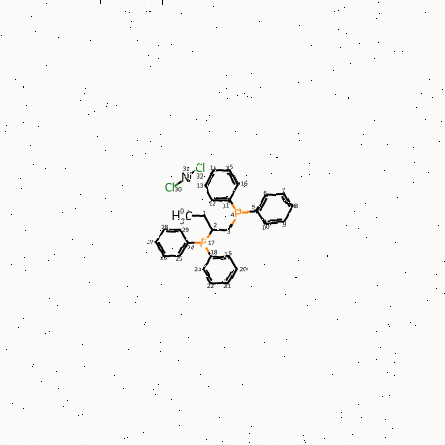 CCC(CP(c1ccccc1)c1ccccc1)P(c1ccccc1)c1ccccc1.[Cl][Ni][Cl]